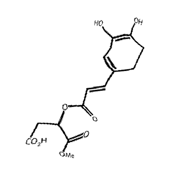 COC(=O)C(CC(=O)O)OC(=O)/C=C/C1=CC(O)=C(O)CC1